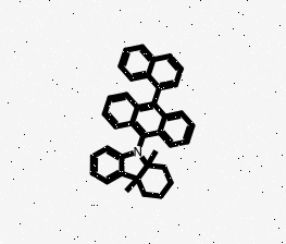 CC12CCCCC1(C)N(c1c3ccccc3c(-c3cccc4ccccc34)c3ccccc13)c1ccccc12